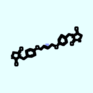 O=C1CSC(=O)N1Cc1ccc(OC/C=C/COc2ccc(CN3C(=O)CSC3=O)cc2)cc1